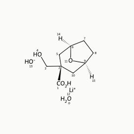 O.O=C(O)[C@@]1(CO)C[C@H]2CC[C@@H](C1)O2.[Li+].[OH-]